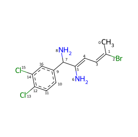 C/C(Br)=C\C=C(/N)C(N)c1ccc(Cl)c(Cl)c1